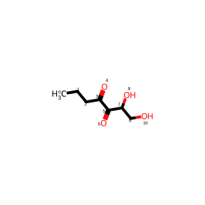 CCCC(=O)C(=O)C(O)CO